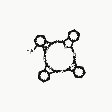 [InH2][c]1cccc2c3nc4nc(nc5[nH]c(nc6nc(nc([nH]3)c12)-c1ccccc1-6)c1ccccc51)-c1ccccc1-4